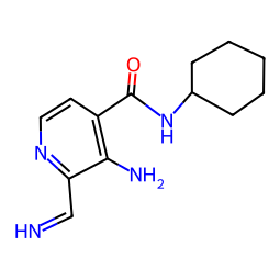 N=Cc1nccc(C(=O)NC2CCCCC2)c1N